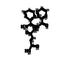 NC(=O)c1cnccn1.NC(=O)c1cnccn1.O=C(O)/C=C/C(=O)O